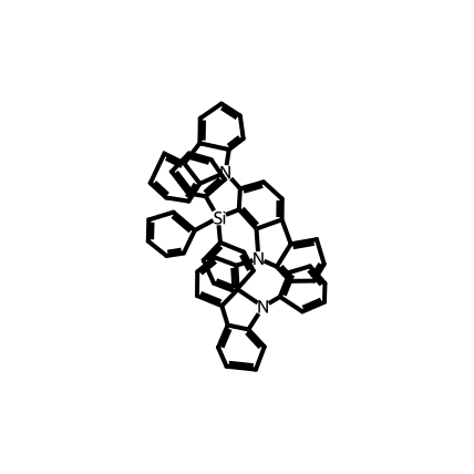 c1ccc(-n2c3ccccc3c3cccc(-n4c5ccccc5c5ccc(-n6c7ccccc7c7ccccc76)c([Si](c6ccccc6)(c6ccccc6)c6ccccc6)c54)c32)cc1